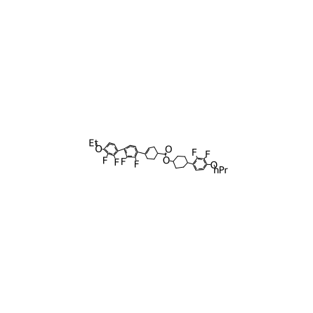 CCCOc1ccc(C2CCC(OC(=O)C3CC=C(c4ccc(-c5ccc(OCC)c(F)c5F)c(F)c4F)CC3)CC2)c(F)c1F